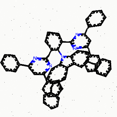 c1ccc(-c2ccc3c(c2)c2cc(-c4ccccc4)ccc2n3-c2c(-c3nc(-c4ccccc4)cc(-c4ccccc4)n3)cccc2-c2nc(-c3ccccc3)cc(-c3ccccc3)n2)cc1